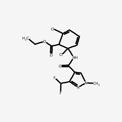 CCOC(=O)C1C(Cl)=CC=CC1(Cl)NC(=O)c1cn(C)nc1C(F)F